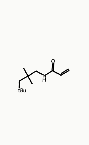 C=CC(=O)NCC(C)(C)CC(C)(C)C